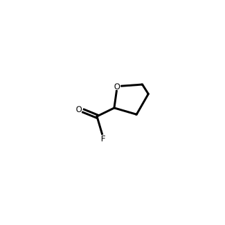 O=C(F)C1CCCO1